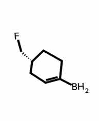 BC1=CC[C@H](CF)CC1